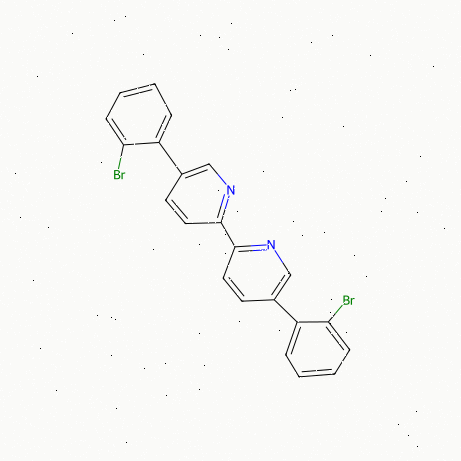 Brc1ccccc1-c1ccc(-c2ccc(-c3ccccc3Br)cn2)nc1